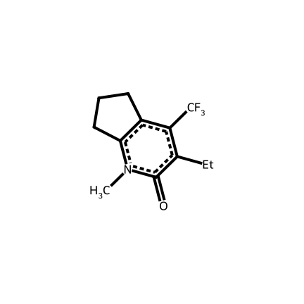 CCc1c(C(F)(F)F)c2c(n(C)c1=O)CCC2